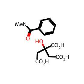 CNC(=O)c1ccccc1.O=C(O)CC(O)(CC(=O)O)C(=O)O